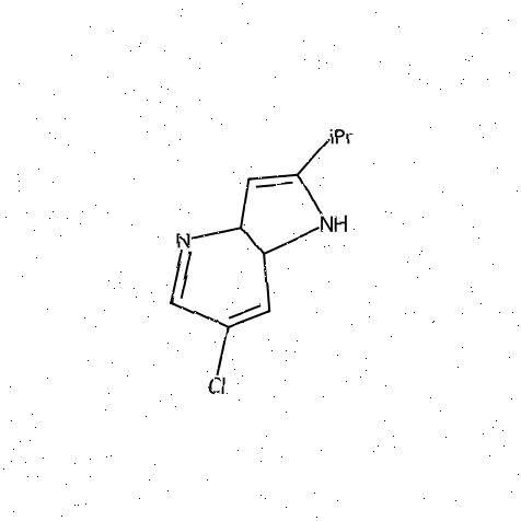 CC(C)C1=CC2N=CC(Cl)=CC2N1